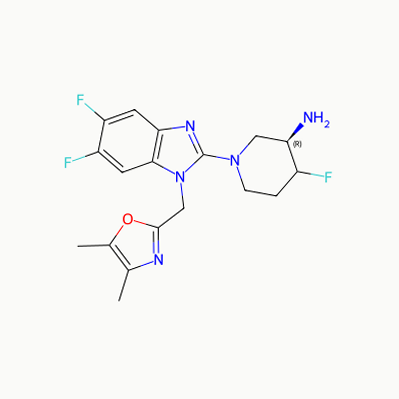 Cc1nc(Cn2c(N3CCC(F)[C@H](N)C3)nc3cc(F)c(F)cc32)oc1C